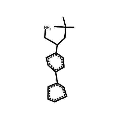 CC(C)(C)CC(CN)c1ccc(-c2ccccc2)cc1